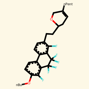 CCCCCC1=CCC(CCc2ccc3c(c2F)C(F)(F)C(F)(F)c2c-3ccc(OCCCC)c2F)OC1